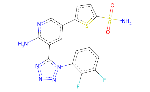 Nc1ncc(-c2ccc(S(N)(=O)=O)s2)cc1-c1nnnn1-c1cccc(F)c1F